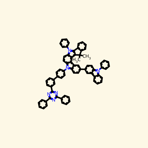 CC1(C)c2ccccc2-c2c1c1c3c4cc(-c5ccc6c(c5)c5ccccc5n6-c5ccccc5)ccc4n(-c4ccc(-c5cccc(-c6nc(-c7ccccc7)nc(-c7ccccc7)n6)c5)cc4)c3ccc1n2-c1ccccc1